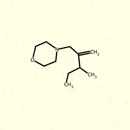 C=C(CN1CCOCC1)C(C)CC